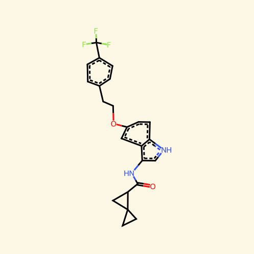 O=C(Nc1c[nH]c2ccc(OCCc3ccc(C(F)(F)F)cc3)cc12)C1CC12CC2